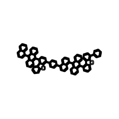 c1ccc(-c2cccc3c2oc2cccc(-c4c5ccccc5c(-c5cccc6c(-c7ccc(-c8ccc(-c9c%10ccccc%10c(-c%10cccc%11ccccc%10%11)c%10ccccc9%10)c9c8oc8ccccc89)cc7)cccc56)c5ccccc45)c23)cc1